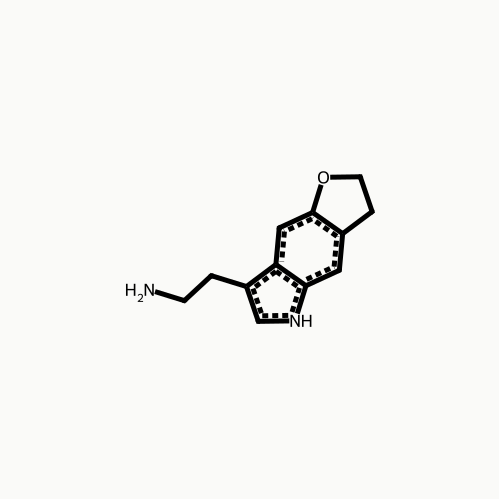 NCCc1c[nH]c2cc3c(cc12)OCC3